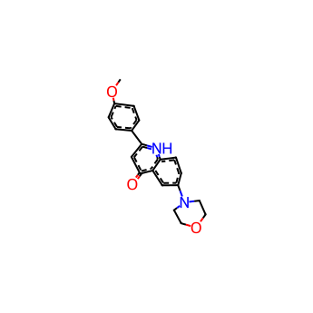 COc1ccc(-c2cc(=O)c3cc(N4CCOCC4)ccc3[nH]2)cc1